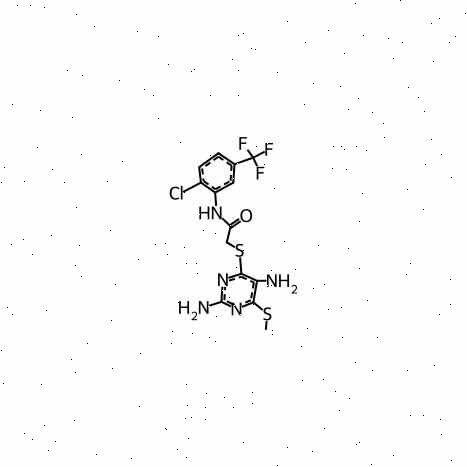 CSc1nc(N)nc(SCC(=O)Nc2cc(C(F)(F)F)ccc2Cl)c1N